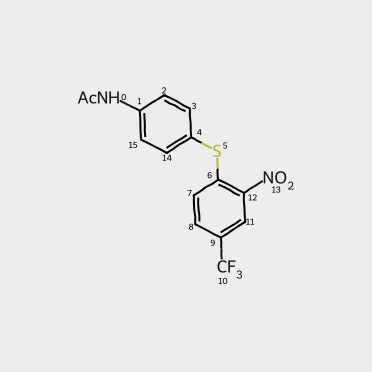 CC(=O)Nc1ccc(Sc2ccc(C(F)(F)F)cc2[N+](=O)[O-])cc1